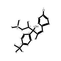 C/C(=C/c1ccc(Cl)cc1)C(O)(c1ccc(C(C)(C)C)cc1)C(C)CN(C)C